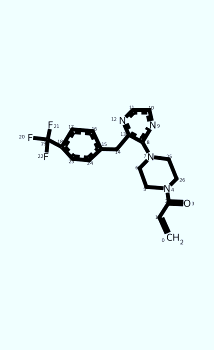 C=CC(=O)N1CCN(c2nccnc2Cc2ccc(C(F)(F)F)cc2)CC1